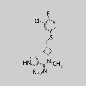 CN(c1ncnc2[nH]ccc12)[C@H]1C[C@@H](CSc2ccc(F)c(Cl)c2)C1